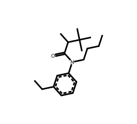 CCCCN(C(=O)C(C)C(C)(C)C)c1cccc(CC)c1